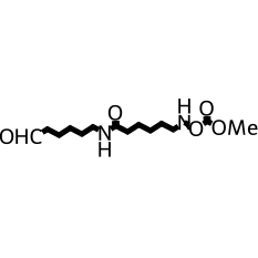 COC(=O)ONCCCCCC(=O)NCCCCCC=O